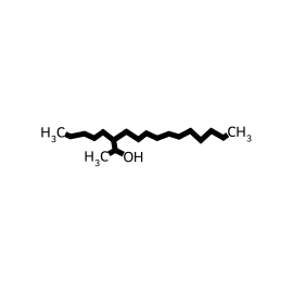 CCCCCCCCCCCC(CCCCC)C(C)O